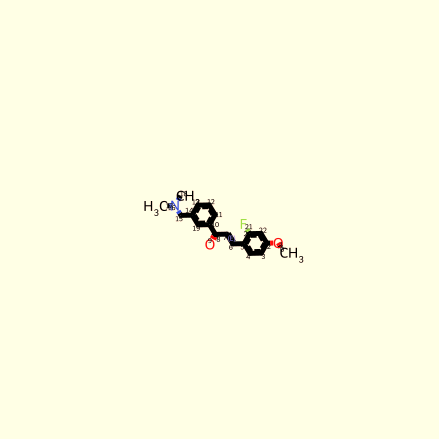 COc1ccc(/C=C/C(=O)c2cccc(CN(C)C)c2)c(F)c1